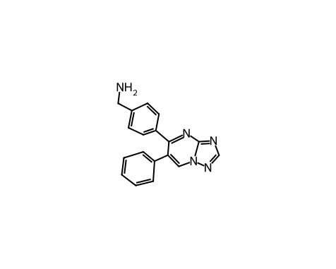 NCc1ccc(-c2nc3ncnn3cc2-c2ccccc2)cc1